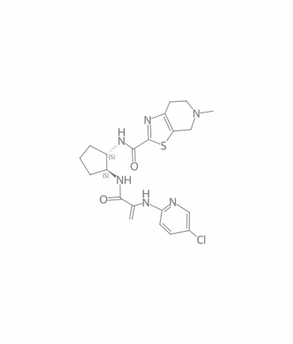 C=C(Nc1ccc(Cl)cn1)C(=O)N[C@H]1CCC[C@@H]1NC(=O)c1nc2c(s1)CN(C)CC2